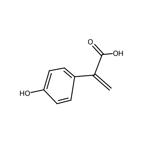 C=C(C(=O)O)c1ccc(O)cc1